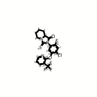 O=C1C2CCCCN2C(=S)N1c1cc(Oc2ncccc2C(F)(F)F)c(Cl)cc1F